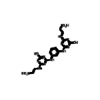 O=S(=O)(O)CCNc1nc(O)nc(Nc2cccc(Nc3nc(O)nc(NCCS(=O)(=O)O)n3)c2)n1